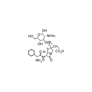 CC(=O)N[C@@H]1[C@@H](O)[C@H](O)[C@@H](CO)O[C@@H]1O.CC1(C)S[C@@H]2[C@H](NC(=O)[C@H](N)c3ccccc3)C(=O)N2[C@H]1C(=O)O